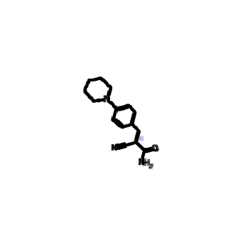 N#C/C(=C\c1ccc(N2CCCCC2)cc1)C(N)=O